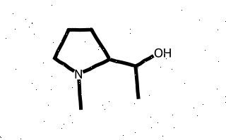 CC(O)C1CCCN1C